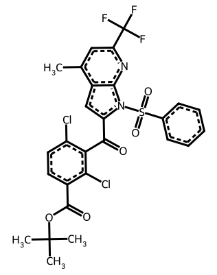 Cc1cc(C(F)(F)F)nc2c1cc(C(=O)c1c(Cl)ccc(C(=O)OC(C)(C)C)c1Cl)n2S(=O)(=O)c1ccccc1